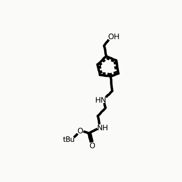 CC(C)(C)OC(=O)NCCNCc1ccc(CO)cc1